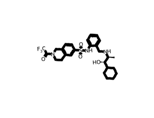 C[C@H](NCc1ccccc1NS(=O)(=O)c1ccc2c(c1)CCN(C(=O)C(F)(F)F)C2)[C@@H](O)C1CCCCC1